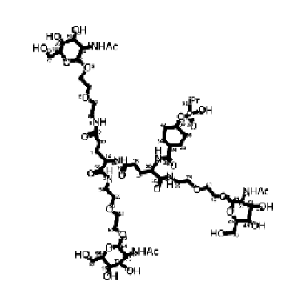 CC(=O)NC1C(OCCOCCNC(=O)CCC(NC(=O)CCC(NC(=O)C2CCC(OP(=O)(O)C(C)C)CC2)C(=O)NCCOCCOC2OC(CO)C(O)C(O)C2NC(C)=O)C(=O)NCCOCCOC2OC(CO)C(O)C(O)C2NC(C)=O)OC(CO)C(O)C1O